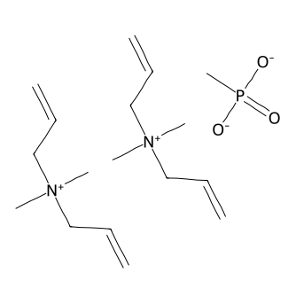 C=CC[N+](C)(C)CC=C.C=CC[N+](C)(C)CC=C.CP(=O)([O-])[O-]